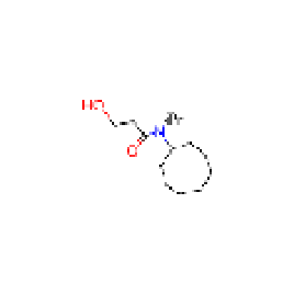 CC(C)N(C(=O)CCO)C1CCCCCCC1